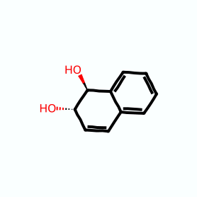 O[C@H]1C=Cc2ccccc2[C@@H]1O